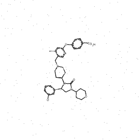 Cc1cc(Oc2ccc(C(=O)O)cc2)ncc1CN1CCC(N2C(=O)N(C3CCOCC3)CC2c2cccc(Cl)c2)CC1